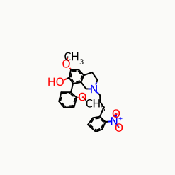 COc1ccccc1-c1c(O)c(OC)cc2c1CN(CCCc1ccccc1[N+](=O)[O-])CC2